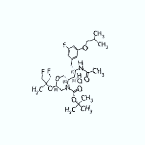 CC(=O)N[C@@H](Cc1cc(F)cc(OCC(C)C)c1)[C@H](O)[C@H]1CO[C@H](OC(C)(CF)CF)CN1C(=O)OC(C)(C)C